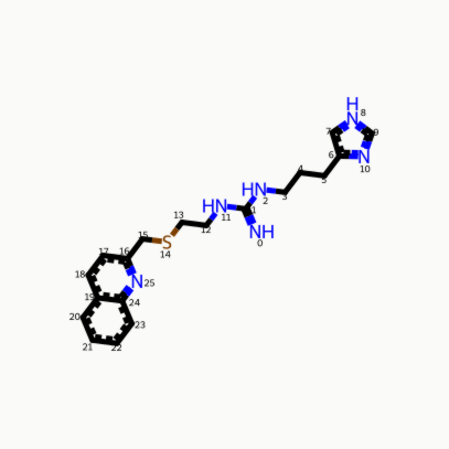 N=C(NCCCc1c[nH]cn1)NCCSCc1ccc2ccccc2n1